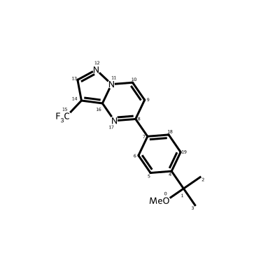 COC(C)(C)c1ccc(-c2ccn3ncc(C(F)(F)F)c3n2)cc1